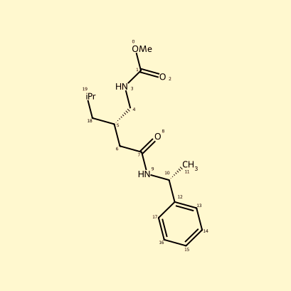 COC(=O)NC[C@H](CC(=O)N[C@H](C)c1ccccc1)CC(C)C